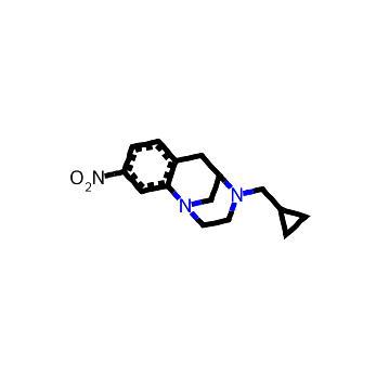 O=[N+]([O-])c1ccc2c(c1)N1CCN(CC3CC3)C(C2)C1